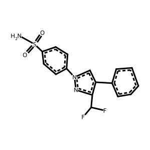 NS(=O)(=O)c1ccc(-n2cc(-c3ccccc3)c(C(F)F)n2)cc1